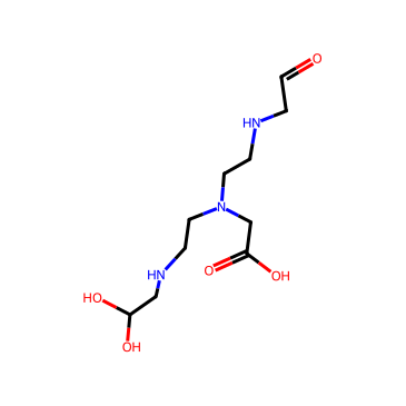 O=CCNCCN(CCNCC(O)O)CC(=O)O